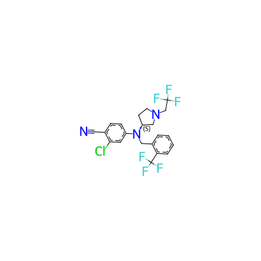 N#Cc1ccc(N(Cc2ccccc2C(F)(F)F)[C@H]2CCN(CC(F)(F)F)C2)cc1Cl